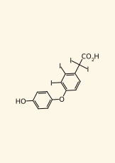 O=C(O)C(I)(I)c1ccc(Oc2ccc(O)cc2)c(I)c1I